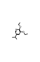 CCOc1cc(C(C)C)cnc1OCC